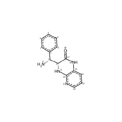 N[C@H](c1ccccc1)[C@H]1Nc2ncccc2NC1=O